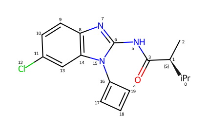 CC(C)[C@H](C)C(=O)Nc1nc2ccc(Cl)cc2n1C1=CC=C1